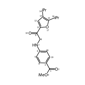 COC(=O)c1ccc(NCC(=O)c2cc(C(C)C)c(C(C)C)o2)cc1